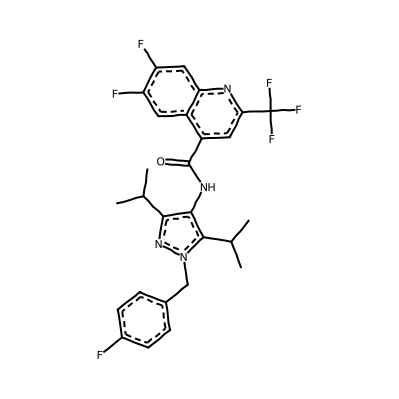 CC(C)c1nn(Cc2ccc(F)cc2)c(C(C)C)c1NC(=O)c1cc(C(F)(F)F)nc2cc(F)c(F)cc12